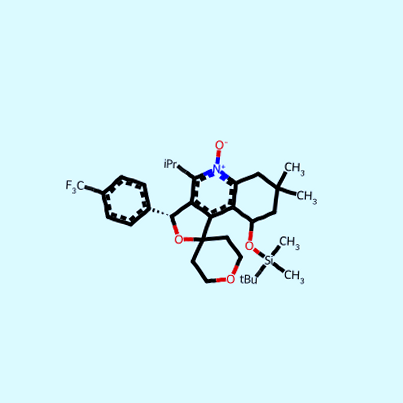 CC(C)c1c2c(c3c([n+]1[O-])CC(C)(C)CC3O[Si](C)(C)C(C)(C)C)C1(CCOCC1)O[C@@H]2c1ccc(C(F)(F)F)cc1